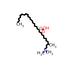 CCCCC/C=C\C/C=C\CCCCCCCCCC(CCCCCCCCC(C)CCCN(C)C)OC(=O)O